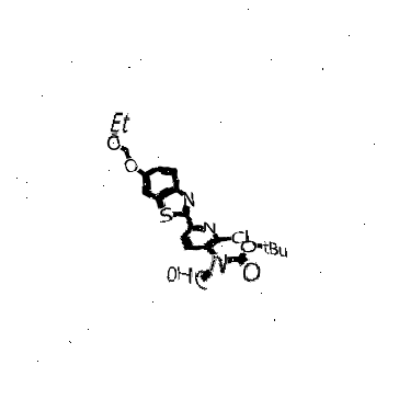 CCOCOc1ccc2nc(-c3ccc(N(C=O)C(=O)OC(C)(C)C)c(Cl)n3)sc2c1